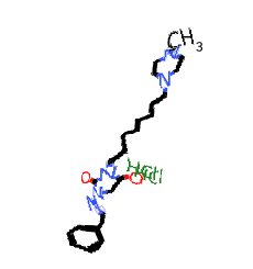 CN1CCN(CCCCCCCCN2C(=O)CN(/N=C/c3ccccc3)C2=O)CC1.Cl.Cl